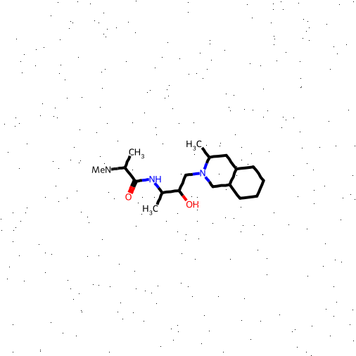 CNC(C)C(=O)NC(C)C(O)CN1CC2CCCCC2CC1C